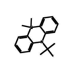 CC(C)(C)N1c2ccccc2[Si](C)(C)c2ccccc21